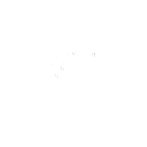 CCOC(=O)C1CC1Nc1nc2cc(OCCCN3CCCC3)c(C)cc2c2c1CCC2